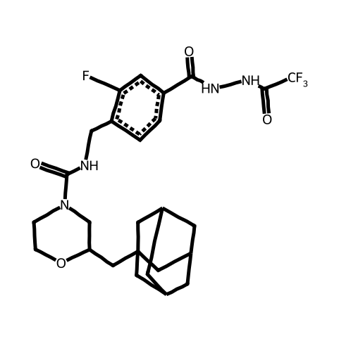 O=C(NNC(=O)C(F)(F)F)c1ccc(CNC(=O)N2CCOC(CC34CC5CC(CC(C5)C3)C4)C2)c(F)c1